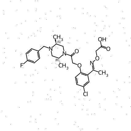 CC(=NOCC(=O)O)c1cc(Cl)ccc1OCC(=O)N1C[C@H](C)N(Cc2ccc(F)cc2)C[C@H]1C